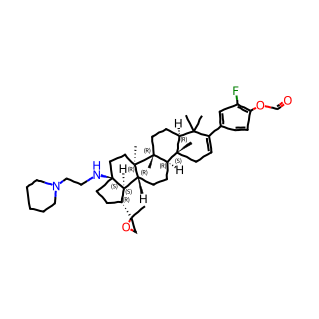 CC1([C@@H]2CC[C@]3(NCCN4CCCCC4)CC[C@]4(C)[C@H](CC[C@@H]5[C@@]6(C)CC=C(c7ccc(OC=O)c(F)c7)C(C)(C)[C@@H]6CC[C@]54C)[C@@H]23)CO1